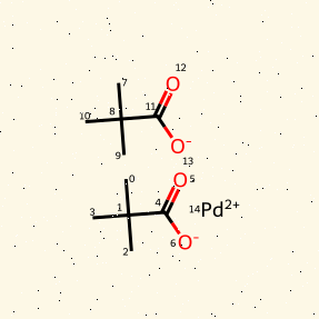 CC(C)(C)C(=O)[O-].CC(C)(C)C(=O)[O-].[Pd+2]